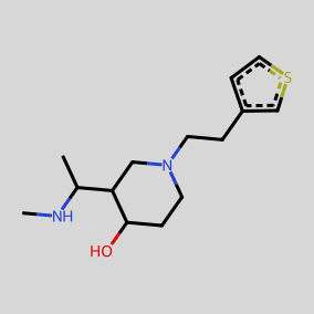 CNC(C)C1CN(CCc2ccsc2)CCC1O